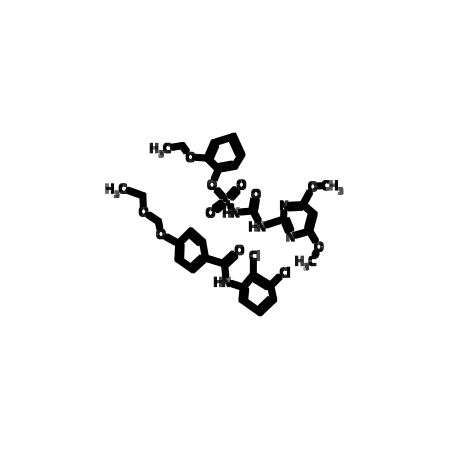 CCOCOc1ccc(C(=O)Nc2cccc(Cl)c2Cl)cc1.CCOc1ccccc1OS(=O)(=O)NC(=O)Nc1nc(OC)cc(OC)n1